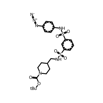 CC(C)(C)OC(=O)N1CCC(CNS(=O)(=O)c2cccc(S(=O)(=O)Nc3ccc(N=[N+]=[N-])cc3)c2)CC1